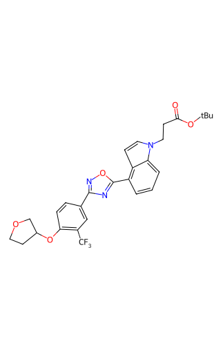 CC(C)(C)OC(=O)CCn1ccc2c(-c3nc(-c4ccc(OC5CCOC5)c(C(F)(F)F)c4)no3)cccc21